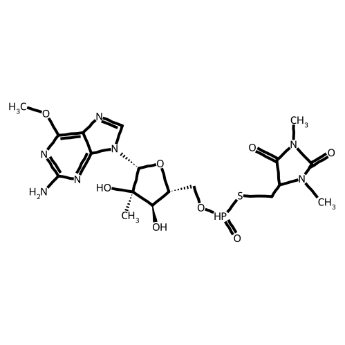 COc1nc(N)nc2c1ncn2[C@@H]1O[C@H](CO[PH](=O)SCC2C(=O)N(C)C(=O)N2C)[C@@H](O)[C@@]1(C)O